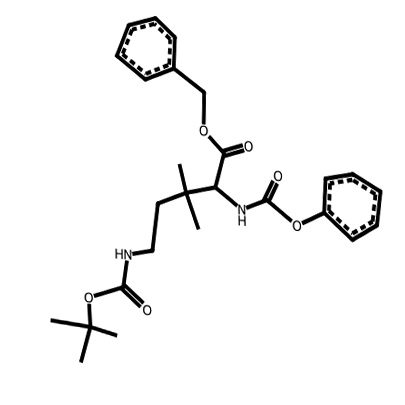 CC(C)(C)OC(=O)NCCC(C)(C)C(NC(=O)Oc1ccccc1)C(=O)OCc1ccccc1